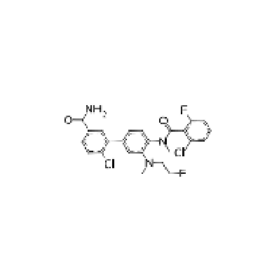 CN(CCF)c1cc(-c2cc(C(N)=O)ccc2Cl)ccc1N(C)C(=O)c1c(F)cccc1Cl